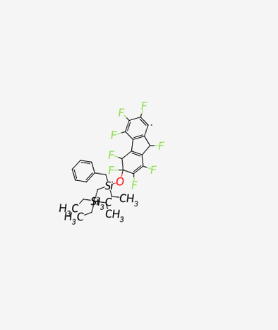 CC[Si](CC)(CC)C[Si](Cc1ccccc1)(OC1(F)C(F)=C(F)C2=C(c3c([c]c(F)c(F)c3F)C2F)C1F)C(C)C